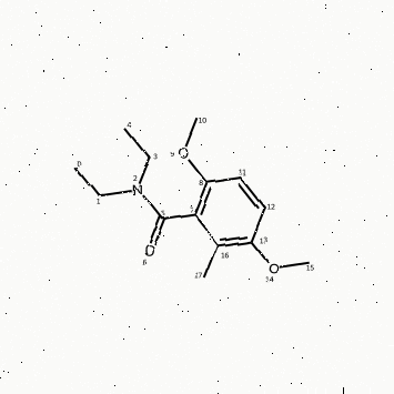 CCN(CC)C(=O)c1c(OC)ccc(OC)c1C